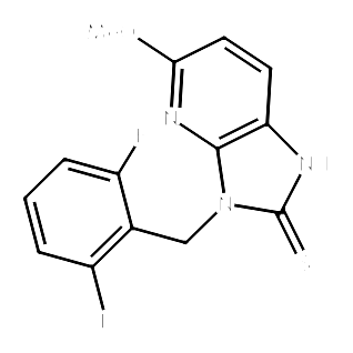 COc1ccc2[nH]c(=S)n(Cc3c(F)cccc3F)c2n1